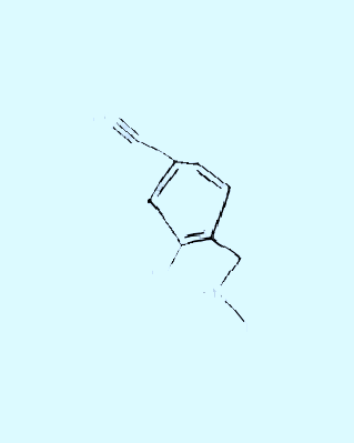 C#Cc1ccc(CNCC)c(C)c1